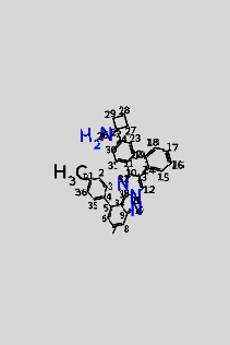 Cc1ccc(-c2cccc3nn4cc(-c5ccccc5)c(-c5ccc(C6(N)CCC6)cc5)nc4c23)cc1